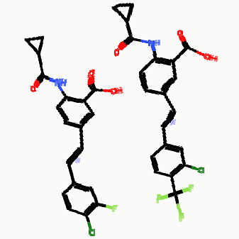 O=C(O)c1cc(/C=C/c2ccc(C(F)(F)F)c(Cl)c2)ccc1NC(=O)C1CC1.O=C(O)c1cc(/C=C/c2ccc(Cl)c(F)c2)ccc1NC(=O)C1CC1